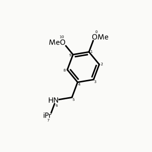 COc1ccc(CNC(C)C)cc1OC